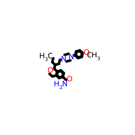 CCCC(CCN1CCN(c2ccc(OC)cc2)CC1)C1OCCc2cc(C(N)=O)ccc21